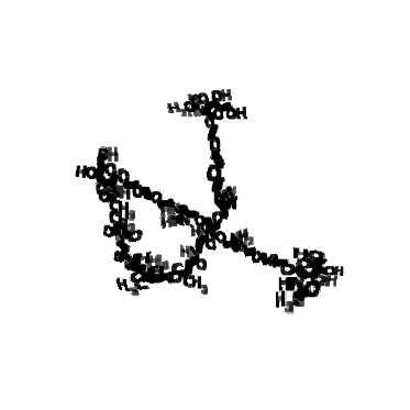 CC(=O)NC1C(O)[C@H](O)C(CO)O[C@@H]1OCCOCCOCCN/C=C(\N)COCC(COC/C(=C/NCCOCCOCCO[C@H]1OC(CO)[C@@H](O)C(O)C1NC(C)=O)N=N)(COCc1cn(CCOCCOCCO[C@H]2OC(CO)[C@@H](O)C(O)C2NC(C)=O)nn1)NC(=O)CCNC(=O)CCC(C)(C)OCCC(C)(C)OCCNC(=O)CCN1C(=O)CC(C)C1=O